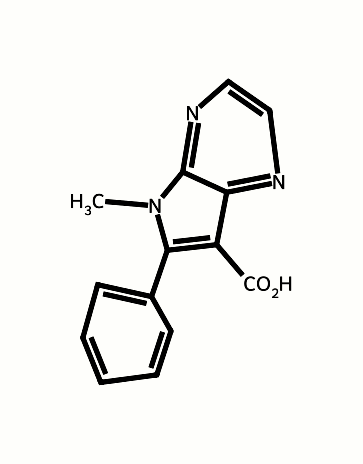 Cn1c(-c2ccccc2)c(C(=O)O)c2nccnc21